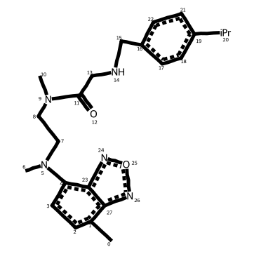 Cc1ccc(N(C)CCN(C)C(=O)CNCc2ccc(C(C)C)cc2)c2nonc12